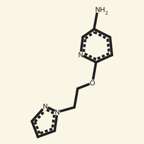 Nc1ccc(OCCn2cccn2)nc1